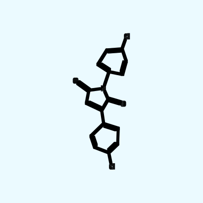 O=C1C=C(c2ccc(Cl)cc2)C(=O)N1c1ccc(Cl)cc1